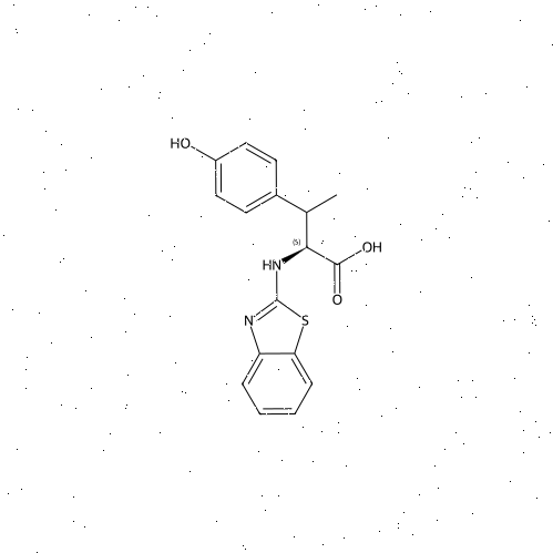 CC(c1ccc(O)cc1)[C@H](Nc1nc2ccccc2s1)C(=O)O